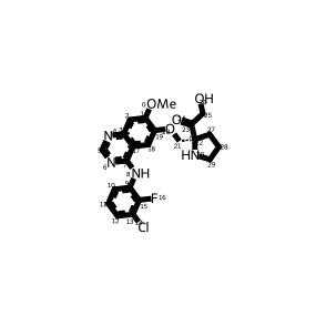 COc1cc2ncnc(Nc3cccc(Cl)c3F)c2cc1OC[C@]1(C(=O)CO)CCCN1